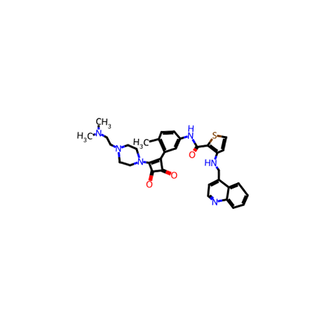 Cc1ccc(NC(=O)c2sccc2NCc2ccnc3ccccc23)cc1-c1c(N2CCN(CCN(C)C)CC2)c(=O)c1=O